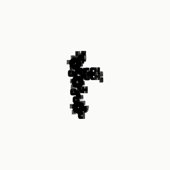 CC(C)(C)OC(=O)N1C[C@@H](NC(=O)COc2ccc(Cl)c(F)c2)CC[C@@H]1C(=O)Nc1cc(C(F)(F)F)ccn1